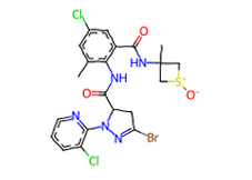 Cc1cc(Cl)cc(C(=O)NC2(C)C[S+]([O-])C2)c1NC(=O)C1CC(Br)=NN1c1ncccc1Cl